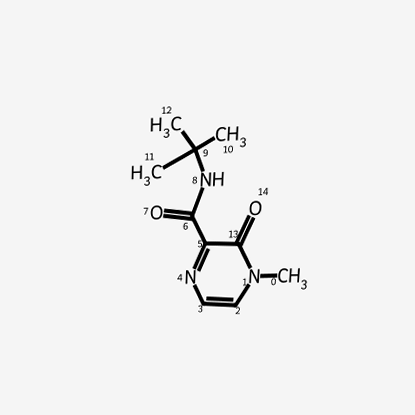 Cn1ccnc(C(=O)NC(C)(C)C)c1=O